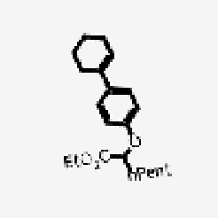 CCCCCC(Oc1ccc(C2=CCCCC2)cc1)C(=O)OCC